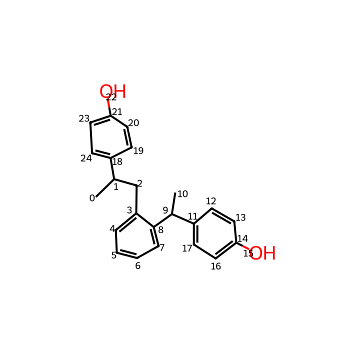 CC(Cc1ccccc1C(C)c1ccc(O)cc1)c1ccc(O)cc1